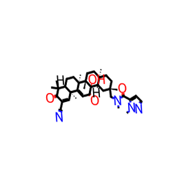 CN(C[C@@]1(C)CC[C@]2(C)CC[C@@]3(C)[C@]4(C)CC[C@H]5C(C)(C)C(=O)C(C#N)=C[C@]5(C)C4=CC(=O)[C@]3(O)[C@@H]2C1)C(=O)c1ccnn1C